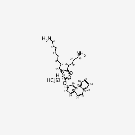 Cl.Cl.NCCCCCCCCN(CC(=O)Oc1ccc2ccc3ccccc3c2c1)C(=O)CCCCN